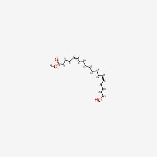 COC(=O)CCC/C=C\CCCCCCC/C=C\CCCCO